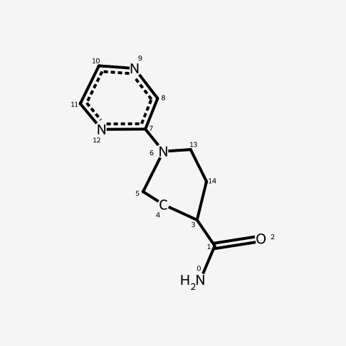 NC(=O)C1CCN(c2cnccn2)CC1